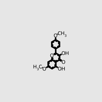 COc1ccc(-c2oc3cc(OC)cc(O)c3c(=O)c2O)cc1